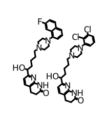 O=C1CCc2ccc(C(O)CCCCN3CCN(c4cccc(Cl)c4Cl)CC3)nc2N1.O=C1CCc2ccc(C(O)CCCCN3CCN(c4cccc5ccc(F)cc45)CC3)nc2N1